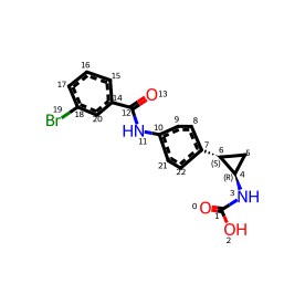 O=C(O)N[C@@H]1C[C@H]1c1ccc(NC(=O)c2cccc(Br)c2)cc1